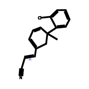 CC1(c2ccccc2Cl)C=CC=C(/C=C/C#N)C1